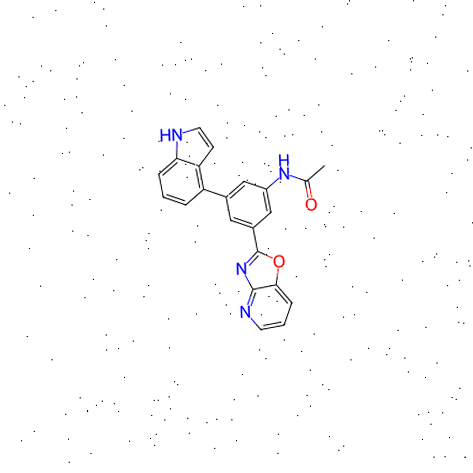 CC(=O)Nc1cc(-c2nc3ncccc3o2)cc(-c2cccc3[nH]ccc23)c1